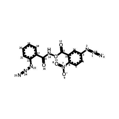 [N-]=[N+]=Nc1ccc([N+](=O)[O-])c(C(=O)ONC(=O)c2ccccc2N=[N+]=[N-])c1